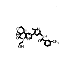 Cc1ncc(NC(=O)c2cccc(C(F)(F)F)c2)cc1-c1cnc2c(c1)[C@@H]1CCOC[C@H]1C(=O)N2CCO